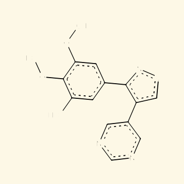 COc1cc(-c2nocc2-c2cncnc2)cc(C)c1OC